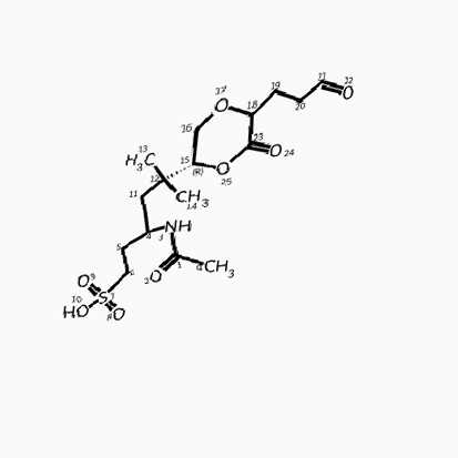 CC(=O)NC(CCS(=O)(=O)O)CC(C)(C)[C@@H]1COC(CCC=O)C(=O)O1